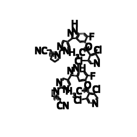 C[C@@H](Oc1cc2c(-c3cnc(N4CCC[C@H]4CC#N)nc3)n[nH]c2cc1F)c1c(Cl)cncc1Cl.C[C@@H](Oc1cc2c(-c3cnc(N4CC[C@@H]4CC#N)nc3)n[nH]c2cc1F)c1c(Cl)cncc1Cl